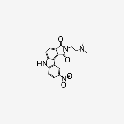 CN(C)CCN1C(=O)c2ccc3[nH]c4ccc([N+](=O)[O-])cc4c3c2C1=O